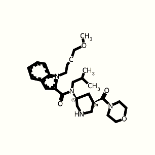 COCCCCn1c(C(=O)N(CC(C)C)[C@@H]2CNC[C@H](C(=O)N3CCOCC3)C2)cc2ccccc21